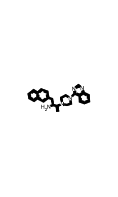 C=C(C(N)Cc1ccc2ccccc2c1)N1CCN(c2ncnc3ccccc23)CC1